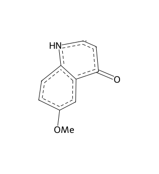 COc1ccc2[nH][c]cc(=O)c2c1